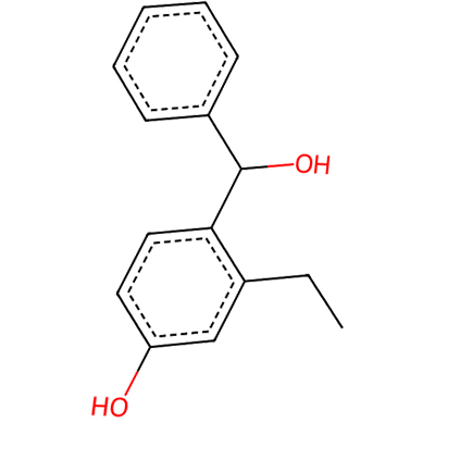 CCc1cc(O)ccc1C(O)c1ccccc1